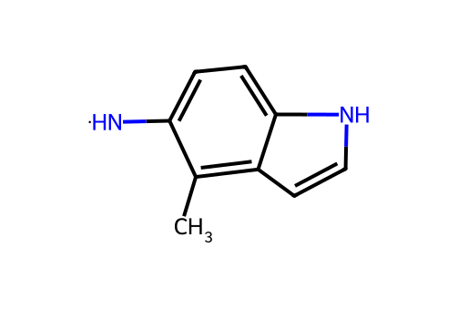 Cc1c([NH])ccc2[nH]ccc12